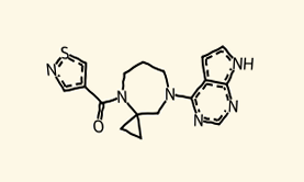 O=C(c1cnsc1)N1CCCN(c2ncnc3[nH]ccc23)CC12CC2